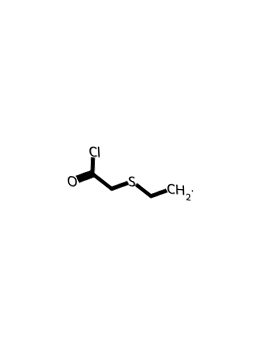 [CH2]CSCC(=O)Cl